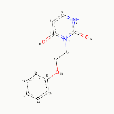 O=c1cc[nH]c(=O)n1CCOc1ccccc1